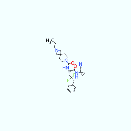 CCCN1CC2(CCN(C(=O)N[C@@H](CC(F)(F)Cc3ccccc3)C(=O)NC3(C#N)CC3)CC2)C1